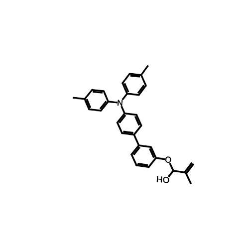 C=C(C)C(O)Oc1cccc(-c2ccc(N(c3ccc(C)cc3)c3ccc(C)cc3)cc2)c1